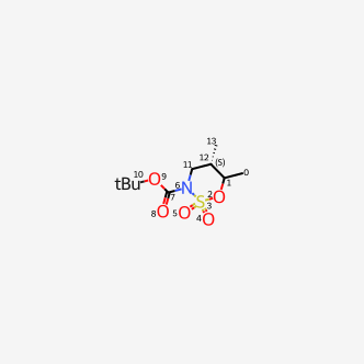 CC1OS(=O)(=O)N(C(=O)OC(C)(C)C)C[C@@H]1C